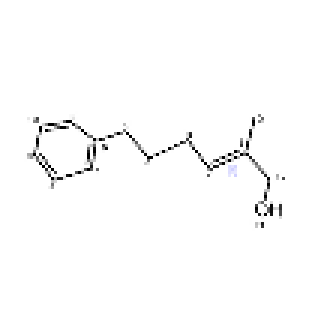 C/C(=C\CCCc1ccccc1)CO